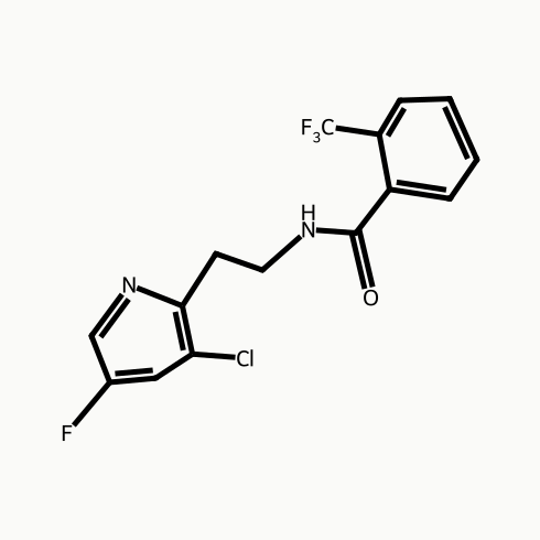 O=C(NCCc1ncc(F)cc1Cl)c1ccccc1C(F)(F)F